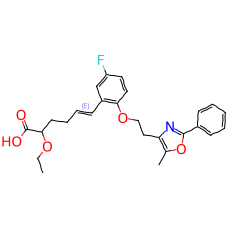 CCOC(CC/C=C/c1cc(F)ccc1OCCc1nc(-c2ccccc2)oc1C)C(=O)O